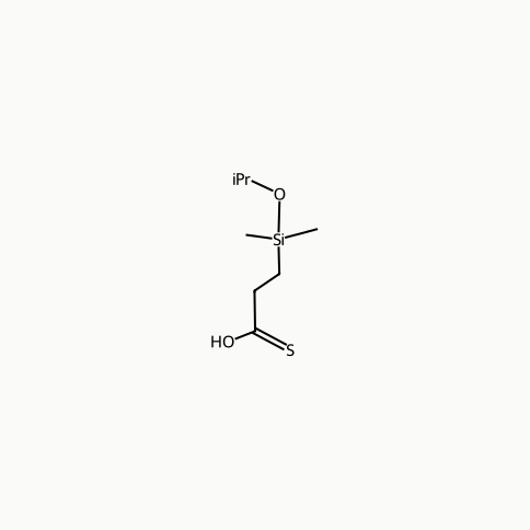 CC(C)O[Si](C)(C)CCC(O)=S